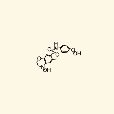 Cc1cc2c(cc1S(=O)(=O)Nc1ccc(OO)cc1)OCCN2O